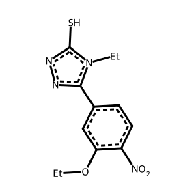 CCOc1cc(-c2nnc(S)n2CC)ccc1[N+](=O)[O-]